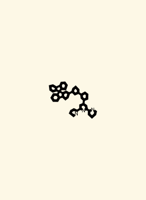 c1ccc(-c2cc(-c3cccc(-c4cccc(-c5ccc6c(c5)C5(c7ccccc7-c7ccccc75)c5ccccc5-6)c4)c3)cc(-c3ccccn3)n2)nc1